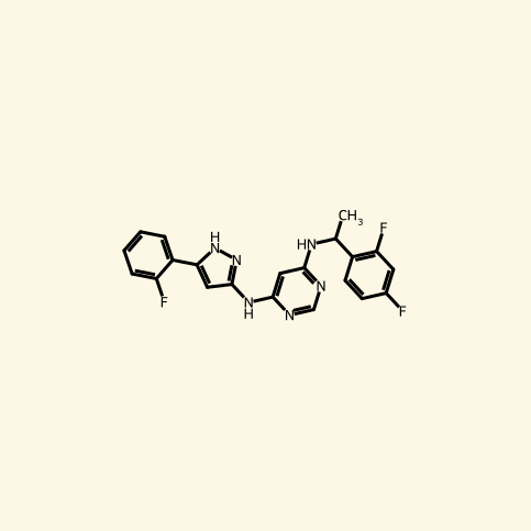 CC(Nc1cc(Nc2cc(-c3ccccc3F)[nH]n2)ncn1)c1ccc(F)cc1F